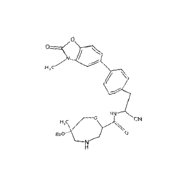 CC(C)COC1(C)CNCC(C(=O)NC(C#N)Cc2ccc(-c3ccc4oc(=O)n(C)c4c3)cc2)OC1